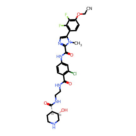 Cn1c(-c2ccc(OCC#N)c(F)c2F)cnc1C(=O)Nc1ccc(C(=O)NCCNC(=O)[C@H]2CCNC[C@H]2O)c(Cl)c1